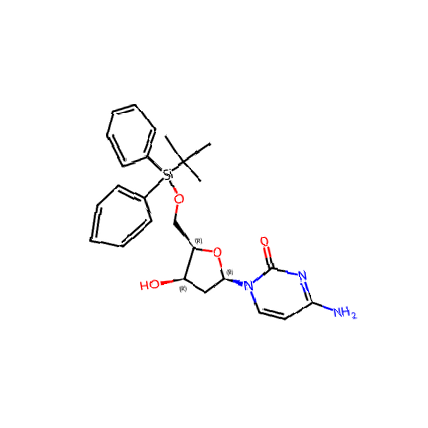 CC(C)(C)[Si](OC[C@H]1O[C@@H](n2ccc(N)nc2=O)C[C@H]1O)(c1ccccc1)c1ccccc1